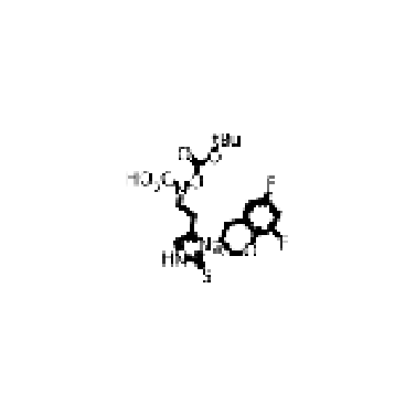 CC(C)(C)OC(=O)ON(CCc1c[nH]c(=S)n1[C@H]1COc2c(F)cc(F)cc2C1)C(=O)O